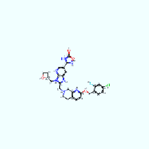 O=c1[nH]c(-c2cnc3c(c2)nc(CN2CCc4ccc(OCc5ccc(Cl)cc5F)nc4C2)n3C[C@@H]2CCO2)no1